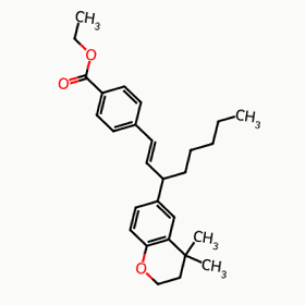 CCCCCC(C=Cc1ccc(C(=O)OCC)cc1)c1ccc2c(c1)C(C)(C)CCO2